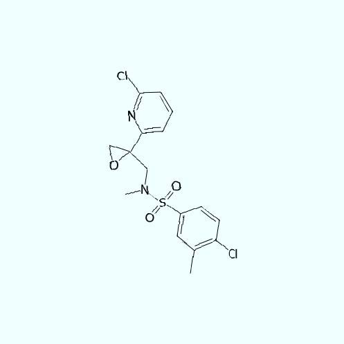 Cc1cc(S(=O)(=O)N(C)CC2(c3cccc(Cl)n3)CO2)ccc1Cl